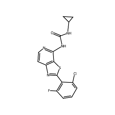 O=C(Nc1nccc2nc(-c3c(F)cccc3Cl)sc12)NC1CC1